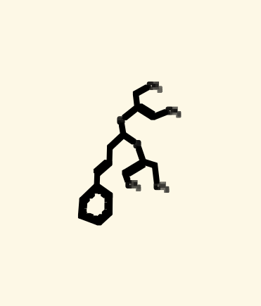 CC=C(CC)OC(CC=Cc1ccccc1)OC(=CC)CC